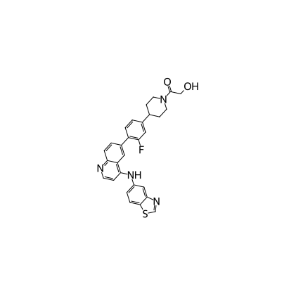 O=C(CO)N1CCC(c2ccc(-c3ccc4nccc(Nc5ccc6scnc6c5)c4c3)c(F)c2)CC1